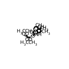 Cc1cc2c3c(c1C)C(C)(C)CCN3C(=O)C(OC[C@@H]1OC(C)(C)O[C@@H]1[C@H]1COC(C)(C)O1)N2